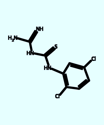 N=C(N)NC(=S)Nc1cc(Cl)ccc1Cl